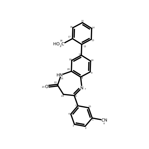 N#Cc1cccc(C2=Nc3ccc(-c4ccccc4C(=O)O)cc3NC(=O)C2)c1